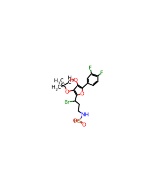 C[Si](C)(C)Oc1c(C(Br)CCN[SH](=O)=O)oc(-c2ccc(F)c(F)c2)c1O